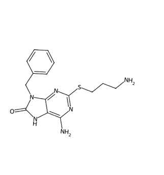 NCCCSc1nc(N)c2[nH]c(=O)n(Cc3ccccc3)c2n1